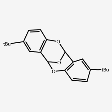 CC(C)(C)c1ccc2c(c1)C1Oc3ccc(C(C)(C)C)cc3C(O2)O1